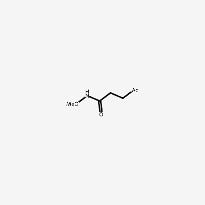 CONC(=O)CCC(C)=O